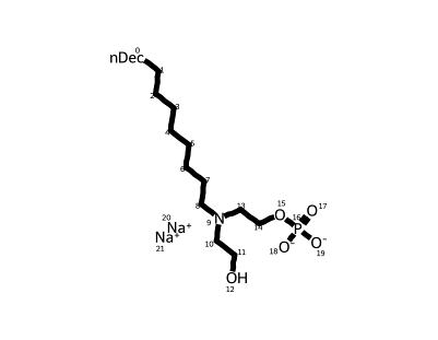 CCCCCCCCCCCCCCCCCCN(CCO)CCOP(=O)([O-])[O-].[Na+].[Na+]